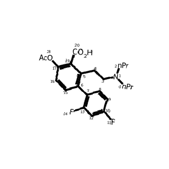 CCCN(CCC)CCc1c(-c2ccc(F)cc2F)ccc(OC(C)=O)c1C(=O)O